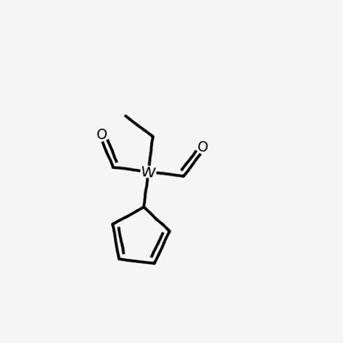 C[CH2][W]([CH]=O)([CH]=O)[CH]1C=CC=C1